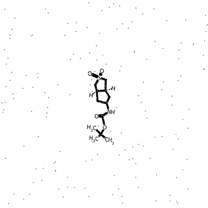 CC(C)(C)OC(=O)NC1C[C@@H]2CS(=O)(=O)C[C@@H]2C1